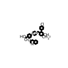 CC1(C)CCC(CN2CCN(c3ccc(C(=O)O)c(Oc4cnc5ccccc5c4)c3)CC2)=C(c2ccc(Cl)cc2)C1